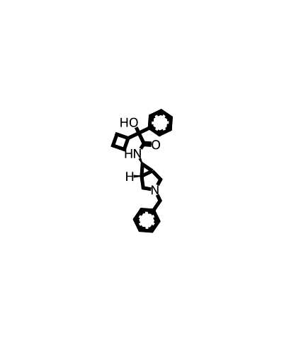 O=C(N[C@H]1C2CN(Cc3ccccc3)C[C@@H]21)C(O)(c1ccccc1)C1CCC1